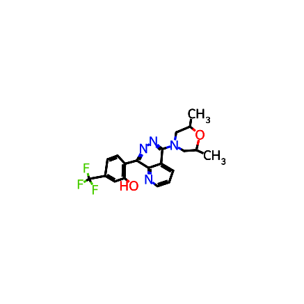 CC1CN(c2nnc(-c3ccc(C(F)(F)F)cc3O)c3ncccc23)CC(C)O1